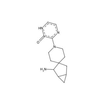 NC1C2CC2CC12CCN(c1nc[c][nH]c1=O)CC2